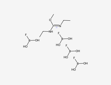 CC/N=C(/NCC)OC.OB(O)F.OB(O)F.OB(O)F.OB(O)F